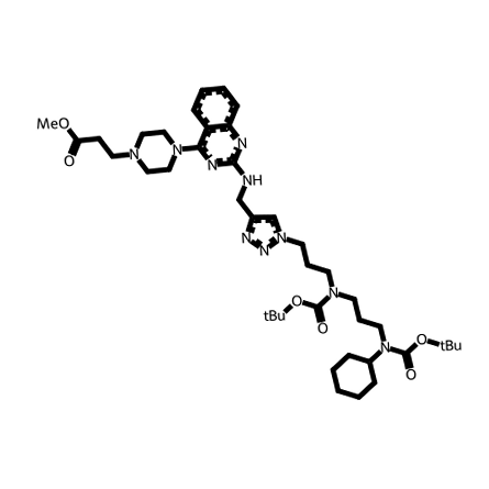 COC(=O)CCN1CCN(c2nc(NCc3cn(CCCN(CCCN(C(=O)OC(C)(C)C)C4CCCCC4)C(=O)OC(C)(C)C)nn3)nc3ccccc23)CC1